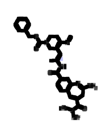 C=NC1=C(/C=C(\C)NC(=O)c2ccc3c(c2)N=C(N)CC(C(=O)N(CCC)CCC)=C3)CN(C(=O)OCc2ccccc2)CC1